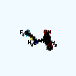 CN(CCCCC[C@@H]1Cc2cc(O)c(F)cc2[C@H]2CC[C@]3(C)[C@@H](OC4CCCCO4)CC[C@H]3[C@H]12)CCCSCCCC(F)(F)C(F)(F)F